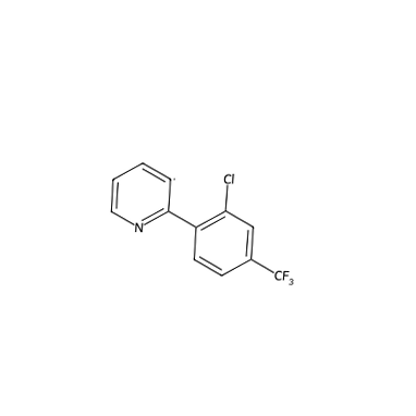 FC(F)(F)c1ccc(-c2[c]cccn2)c(Cl)c1